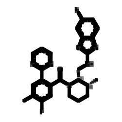 Cc1cc(-c2ncccn2)c(C(=O)N2CCC[C@@H](C)[C@H]2CNc2nc3ccc(F)cc3o2)cc1F